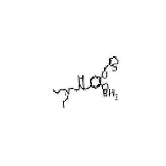 BOc1cc(CNCCN(CCC)CCC)ccc1OCC1=CCCS1